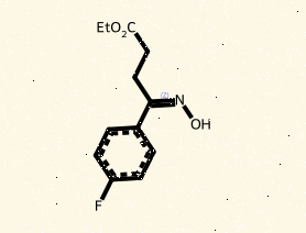 CCOC(=O)CC/C(=N/O)c1ccc(F)cc1